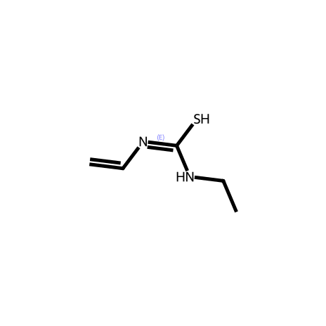 C=C/N=C(/S)NCC